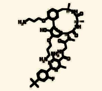 Cc1nc(-c2ccc(C(C)(C)C)cc2F)nc(N)c1C(=O)NCC(=O)N(C)[C@@H]1C(=O)N[C@@H](C)C(=O)N[C@H](C)Cc2ccc(OCCCN)c(c2)-c2cc1cc(OCCCN)c2O